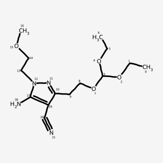 CCOC(OCC)OCCc1nn(CCOC)c(N)c1C#N